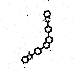 c1ccc2[nH]c(-c3ccc(-c4ccc5ccc(-c6ccc(-c7nc8ccccc8[nH]7)cc6)cc5c4)cc3)nc2c1